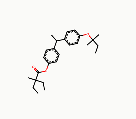 CCC(C)(C)Oc1ccc(C(C)c2ccc(OC(=O)C(C)(CC)CC)cc2)cc1